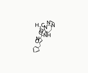 CN1C(=O)[C@H](NC(=O)c2cc(Cc3ccccc3)on2)CCc2nccnc21